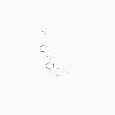 Cc1cc(OCC2CC2)cnc1C(=O)Nc1cc(F)c(F)c([C@@]2(C)C[C@@H](C(F)(F)F)OC(N)=N2)c1